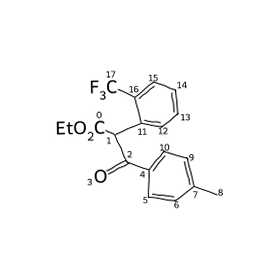 CCOC(=O)C(C(=O)c1ccc(C)cc1)c1ccccc1C(F)(F)F